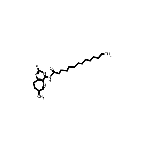 CCCCCCCCCCCCCC(=O)Nc1nc(F)nc2c1N=CC(C)CC2